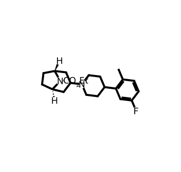 CCOC(=O)N1[C@@H]2CC[C@@H]1CC(N1CCC(c3cc(F)ccc3C)CC1)C2